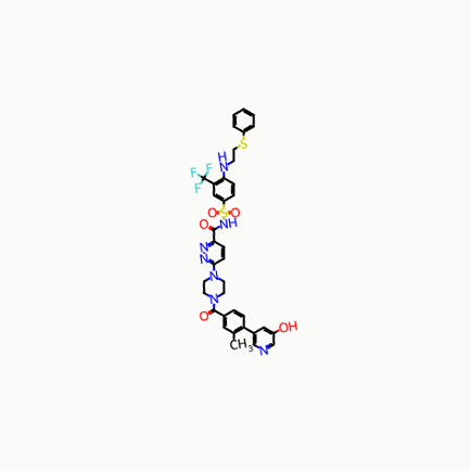 Cc1cc(C(=O)N2CCN(c3ccc(C(=O)NS(=O)(=O)c4ccc(NCCSc5ccccc5)c(C(F)(F)F)c4)nn3)CC2)ccc1-c1cncc(O)c1